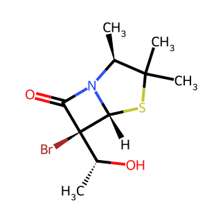 C[C@@H]1N2C(=O)[C@@](Br)([C@@H](C)O)[C@H]2SC1(C)C